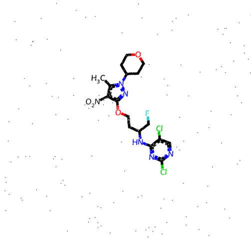 Cc1c([N+](=O)[O-])c(OCCC(CF)Nc2nc(Cl)ncc2Cl)nn1C1CCOCC1